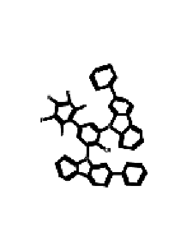 N#Cc1c(-n2c3ccccc3c3ccc(-c4ccccc4)cc32)cc(-c2c(F)c(F)c(F)c(F)c2F)cc1-n1c2ccccc2c2ccc(-c3ccccc3)cc21